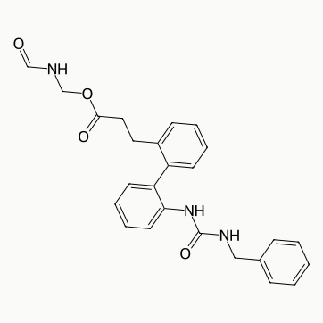 O=CNCOC(=O)CCc1ccccc1-c1ccccc1NC(=O)NCc1ccccc1